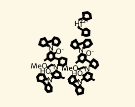 COCCN(c1ccccc1-c1cc(C)cc(-n2c3ccccc3c3ccccc32)c1[O-])c1cc(C)cc(-n2c3ccccc3c3ccccc32)c1O.COCCN(c1ccccc1-c1cc(C)cc(-n2c3ccccc3c3ccccc32)c1[O-])c1cc(C)cc(-n2c3ccccc3c3ccccc32)c1O.c1ccc([CH2][Hf+2][CH2]c2ccccc2)cc1